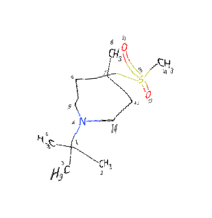 CC(C)(C)N1CCC(C)(S(C)(=O)=O)CC1